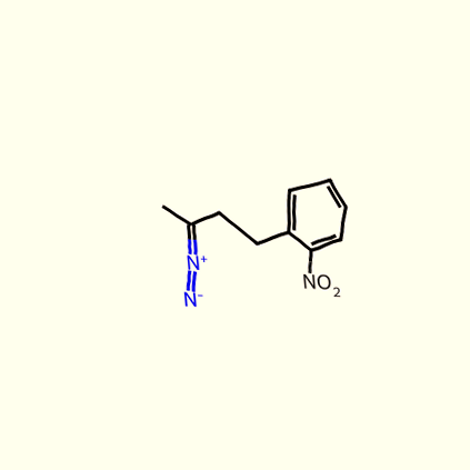 CC(CCc1ccccc1[N+](=O)[O-])=[N+]=[N-]